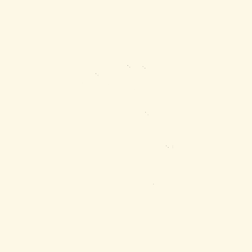 Cc1cc(-c2nn(C)c(Cl)c2CN2CCC(NCCC(C)(C)C)C2)no1